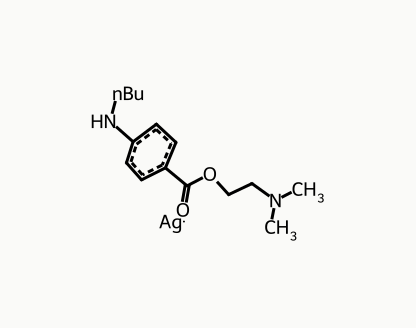 CCCCNc1ccc(C(=O)OCCN(C)C)cc1.[Ag]